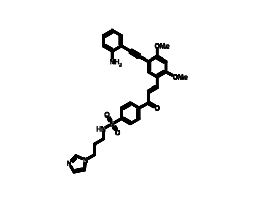 COc1cc(OC)c(/C=C/C(=O)c2ccc(S(=O)(=O)NCCCn3ccnc3)cc2)cc1C#Cc1ccccc1N